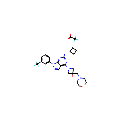 O=C(O)C(F)(F)F.OC1(CN2CCOCC2)CN(c2nc(N[C@H]3C[C@@H](O)C3)nc3c2cnn3-c2cccc(C(F)(F)F)c2)C1